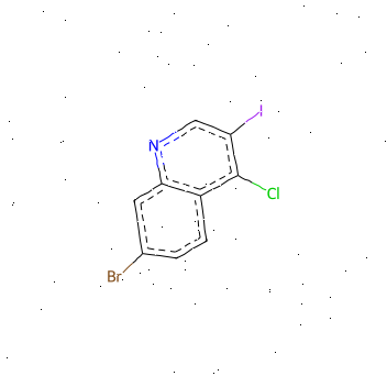 Clc1c(I)cnc2cc(Br)ccc12